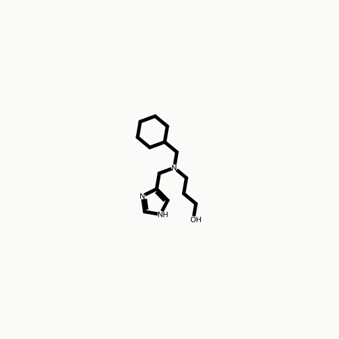 OCCCN(Cc1c[nH]cn1)CC1CCCCC1